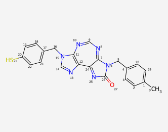 Cc1ccc(Cn2c3ncnc4c(ncn4Cc4ccc(S)cc4)c-3nc2=O)cc1